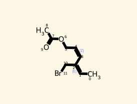 C/C=C(\C=C/COC(C)=O)CBr